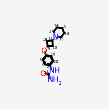 NC(=O)Nc1ccc(OC2CC(N3CCCCC3)C2)cc1